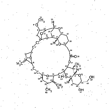 C=C1CC2CCC34CC(OC)C(O3)[C@H]3CC(O4)[C@H]4OC(CCC4O3)CC(=O)OC3[C@H](CC4O[C@@H](CCC1O2)C[C@@H](C)C4=C)O[C@H]1C[C@@H](O)[C@@H](CO)O[C@H]1[C@@H]3C